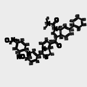 CN(C)C(=O)n1cc(C(=O)c2ccn3c2CSC3C2=CN(c3ccc([N+](=O)[O-])cc3[N+](=O)[O-])CC=C2)c2ccc(-c3ccccc3)cc21